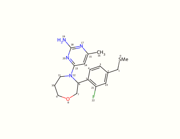 CSCc1ccc(C2COCCCN2c2cc(C)nc(N)n2)c(F)c1